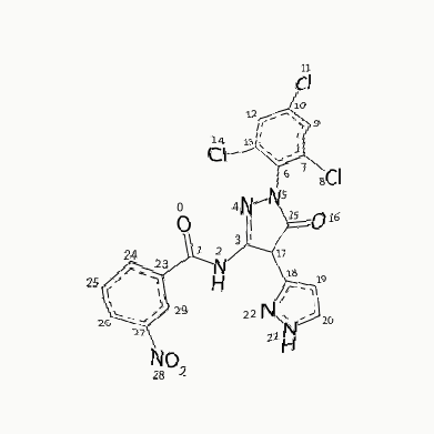 O=C(NC1=NN(c2c(Cl)cc(Cl)cc2Cl)C(=O)C1c1cc[nH]n1)c1cccc([N+](=O)[O-])c1